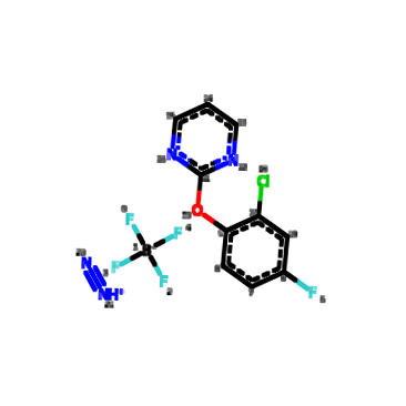 F[B-](F)(F)F.Fc1ccc(Oc2ncccn2)c(Cl)c1.N#[NH+]